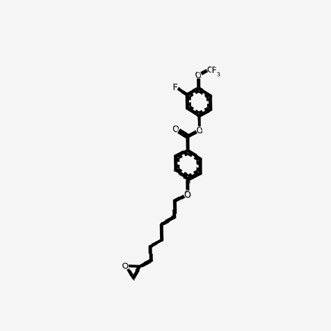 O=C(Oc1ccc(OC(F)(F)F)c(F)c1)c1ccc(OCCCCCCC2CO2)cc1